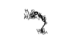 Cc1ccc(-c2cn3nc(-c4ccc(OCCCCCC(=O)NO)cc4C(F)(F)F)ccc3n2)cc1NC(=O)C(C)(C)C